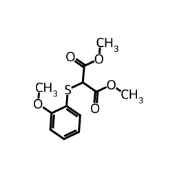 COC(=O)C(Sc1ccccc1OC)C(=O)OC